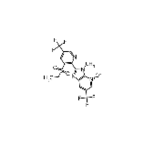 CCS(=O)(=O)c1cc(C(F)(F)F)cnc1-c1nc2cc(C(F)(F)F)c[n+]([O-])c2n1C